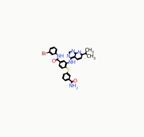 CC(C)c1ccc2c(Nc3cc(C(=O)Nc4cccc(Br)c4)ccc3Sc3cccc(C(N)=O)c3)ncnc2n1